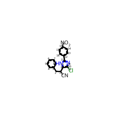 N#CC(Cc1ccccc1)c1[nH]c(-c2ccc([N+](=O)[O-])cc2)nc1Cl